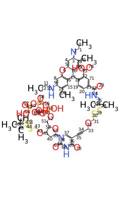 CC/N=C1/C=C2Oc3cc(NCC)c(C)cc3C(c3ccc(C(=O)NCC(C)(C)SSCOCC#Cc4cn([C@H]5CC(OCSSC(C)(C)C)[C@@H](COP(=O)(O)OP(=O)(O)OP(=O)(O)O)O5)c(=O)[nH]c4=O)cc3C(=O)O)C2C=C1C